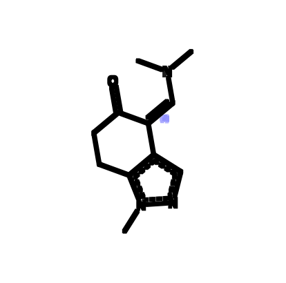 CN(C)/C=C1\C(=O)CCc2c1cnn2C